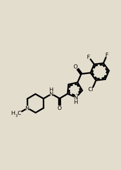 CN1CCC(NC(=O)c2cc(C(=O)c3c(Cl)ccc(F)c3F)c[nH]2)CC1